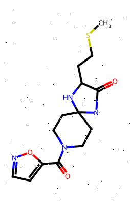 CSCCC1NC2(CCN(C(=O)c3ccno3)CC2)[N]C1=O